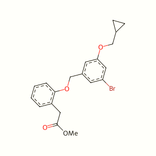 COC(=O)Cc1ccccc1OCc1cc(Br)cc(OCC2CC2)c1